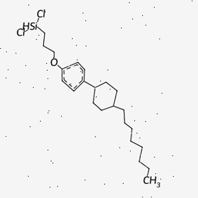 CCCCCCCCC1CCC(c2ccc(OCCC[SiH](Cl)Cl)cc2)CC1